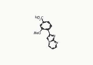 COc1cc(C(=O)O)ccc1-c1cn2cccnc2n1